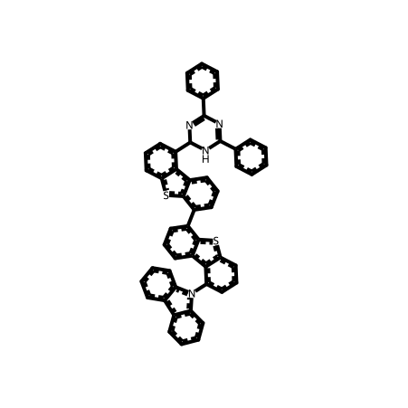 c1ccc(C2=NC(c3cccc4sc5c(-c6cccc7c6sc6cccc(-n8c9ccccc9c9ccccc98)c67)cccc5c34)NC(c3ccccc3)=N2)cc1